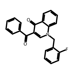 O=C(c1ccccc1)c1cn(Cc2ccccc2F)c2ccccc2c1=O